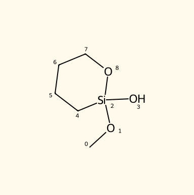 CO[Si]1(O)CCCCO1